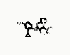 CCCN(CCC)c1c(C)c(Nc2ccc(C)cc2C2CC2)nc2ccnn12